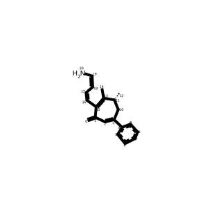 C=C1C=C(c2ccccc2)C[C@@H](C)C(C)=C1/C=C\C=C/N